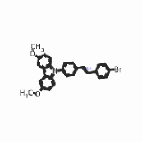 COc1ccc2c(c1)c1cc(OC)ccc1n2-c1ccc(/C=C/c2ccc(Br)cc2)cc1